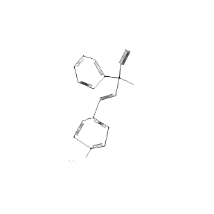 C#CC(O)(C=Cc1ccc(OC)cc1)c1ccccc1